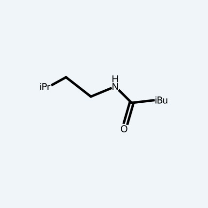 CCC(C)C(=O)NCCC(C)C